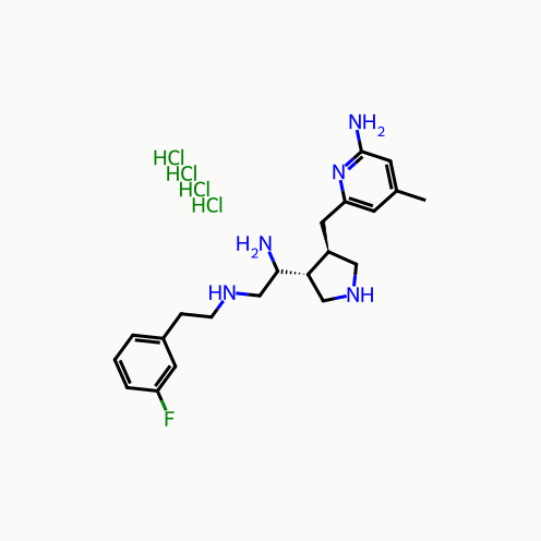 Cc1cc(N)nc(C[C@H]2CNC[C@@H]2C(N)CNCCc2cccc(F)c2)c1.Cl.Cl.Cl.Cl